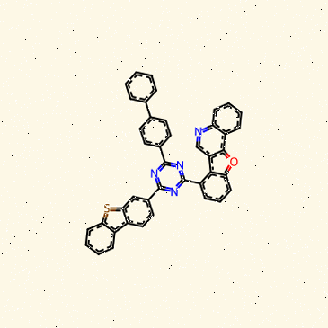 c1ccc(-c2ccc(-c3nc(-c4ccc5c(c4)sc4ccccc45)nc(-c4cccc5oc6c7ccccc7ncc6c45)n3)cc2)cc1